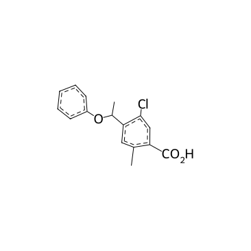 Cc1cc(C(C)Oc2ccccc2)c(Cl)cc1C(=O)O